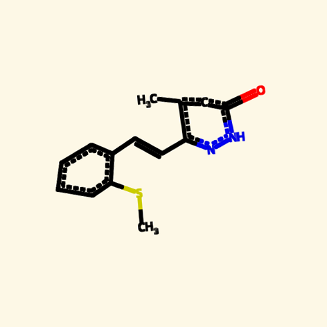 CSc1ccccc1/C=C/c1n[nH]c(=O)cc1C